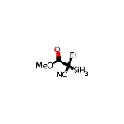 CCC([SiH3])(C#N)C(=O)OC